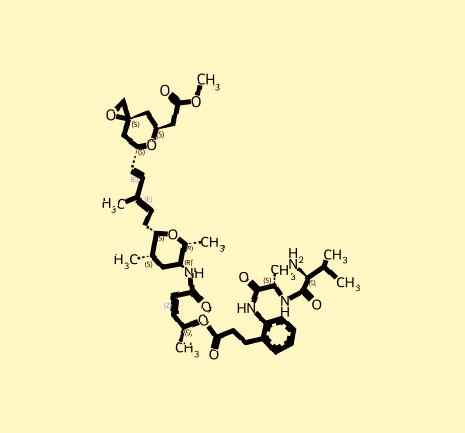 COC(=O)C[C@@H]1C[C@@]2(CO2)C[C@@H](/C=C/C(C)=C/C[C@@H]2O[C@H](C)[C@H](NC(=O)/C=C\[C@H](C)OC(=O)CCc3ccccc3NC(=O)[C@H](C)NC(=O)[C@@H](N)C(C)C)C[C@@H]2C)O1